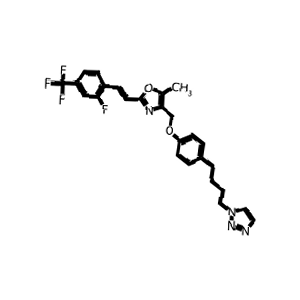 Cc1oc(/C=C/c2ccc(C(F)(F)F)cc2F)nc1COc1ccc(CCCCn2ccnn2)cc1